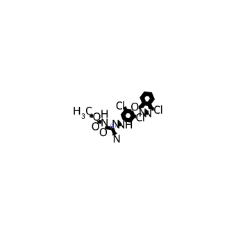 CCOC(=O)NC(=O)/C(C#N)=N/Nc1cc(Cl)c(Oc2nnc(Cl)c3ccccc23)c(Cl)c1